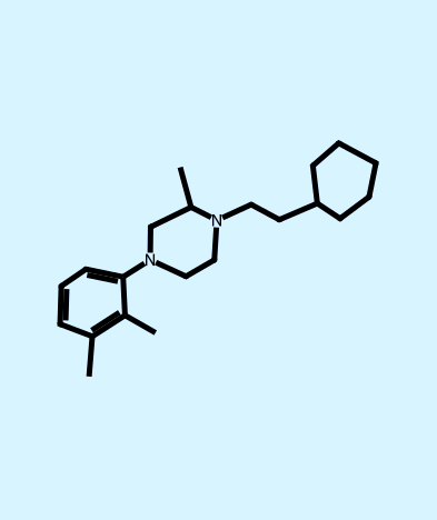 Cc1cccc(N2CCN(CCC3CCCCC3)C(C)C2)c1C